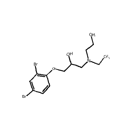 CCN(CCO)CC(O)COc1ccc(Br)cc1Br